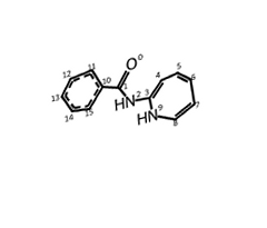 O=C(NC1=CC=CC=CN1)c1ccccc1